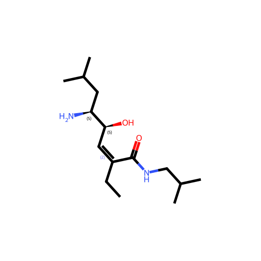 CC/C(=C/[C@H](O)[C@@H](N)CC(C)C)C(=O)NCC(C)C